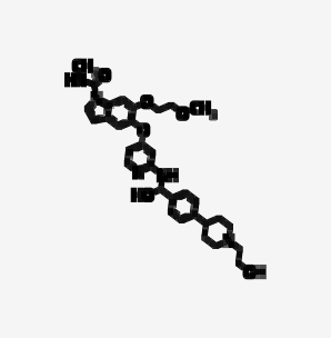 CNC(=O)n1ccc2cc(Oc3ccnc(NC(O)c4ccc(C5CCN(CCO)CC5)cc4)c3)c(OCCOC)cc21